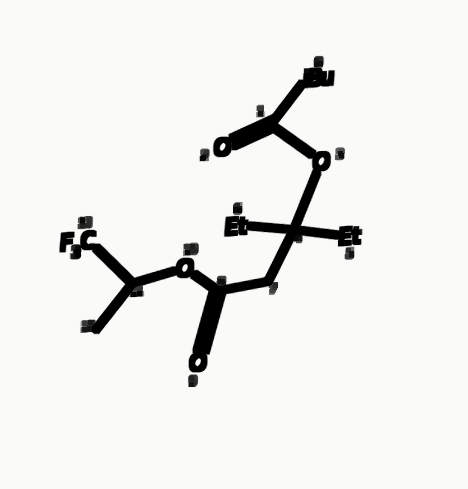 CCC(C)C(=O)OC(CC)(CC)CC(=O)OC(C)C(F)(F)F